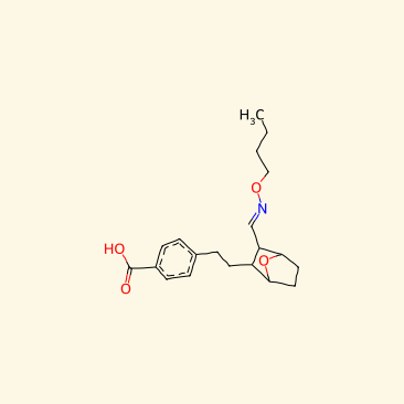 CCCCO/N=C/C1C2CCC(O2)C1CCc1ccc(C(=O)O)cc1